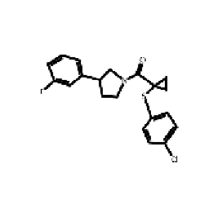 O=C(N1CCC(c2cccc(F)c2)C1)C1(Sc2ccc(Cl)cc2)CC1